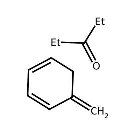 C=C1C=CC=CC1.CCC(=O)CC